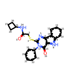 O=C(CSc1nc2c([nH]c3ccccc32)c(=O)n1-c1ccccc1)NC1CCC1